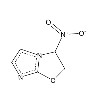 O=[N+]([O-])C1COc2nccn21